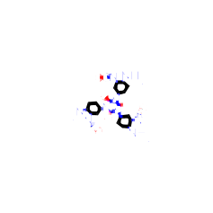 Nc1ccc(-n2c(=O)n(-c3ccc(N)c(N=C=O)c3)c(=O)n(-c3ccc(N)c(N=C=O)c3)c2=O)cc1N=C=O